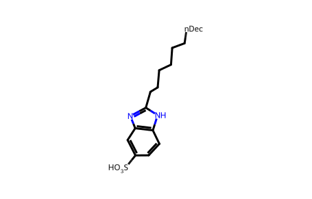 CCCCCCCCCCCCCCCCc1nc2cc(S(=O)(=O)O)ccc2[nH]1